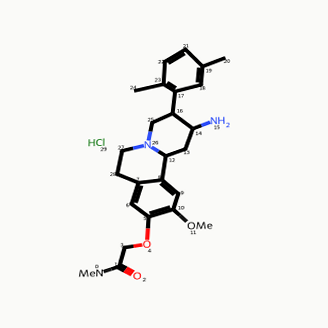 CNC(=O)COc1cc2c(cc1OC)C1CC(N)C(c3cc(C)ccc3C)CN1CC2.Cl